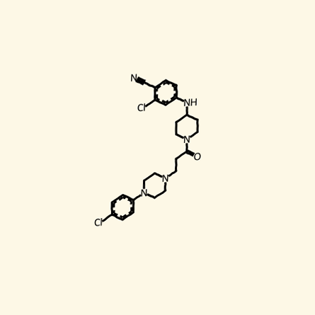 N#Cc1ccc(NC2CCN(C(=O)CCN3CCN(c4ccc(Cl)cc4)CC3)CC2)cc1Cl